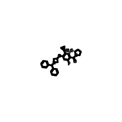 O=C(O)[C@@H]1CCCN1C(=O)c1cc(C2CC2)c(OC2CN(C(c3ccccc3)c3ccccc3)C2)cc1F